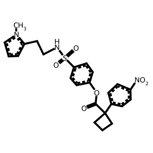 Cn1cccc1CCNS(=O)(=O)c1ccc(OC(=O)C2(c3ccc([N+](=O)[O-])cc3)CCC2)cc1